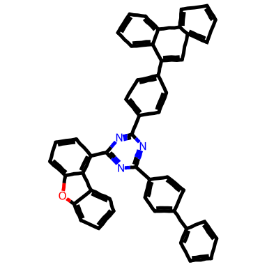 c1ccc(-c2ccc(-c3nc(-c4ccc(-c5cc6ccccc6c6ccccc56)cc4)nc(-c4cccc5oc6ccccc6c45)n3)cc2)cc1